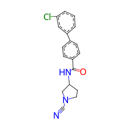 N#CN1CCC(NC(=O)c2ccc(-c3cccc(Cl)c3)cc2)C1